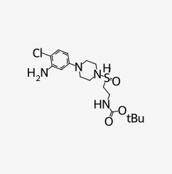 CC(C)(C)OC(=O)NCC[SH](C)(=O)N1CCN(c2ccc(Cl)c(N)c2)CC1